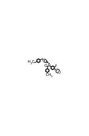 CCc1ccc(CN2CC3C(C2)C3CN(C(=O)c2ccc(C)cc2)c2ccc(N3CCOCC3)c(F)c2)cc1